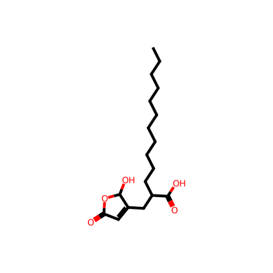 CCCCCCCCCCCC(CC1=CC(=O)OC1O)C(=O)O